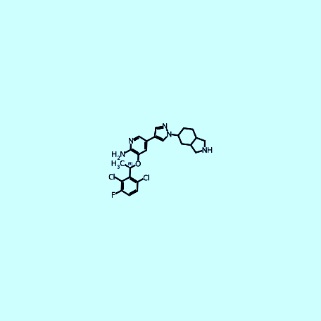 C[C@@H](Oc1cc(-c2cnn(C3CCC4CNCC4C3)c2)cnc1N)c1c(Cl)ccc(F)c1Cl